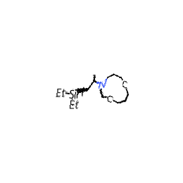 CC[SiH](C=CC(C)N1CCCCCCCCCC1)CC